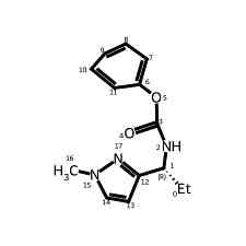 CC[C@@H](NC(=O)Oc1ccccc1)c1ccn(C)n1